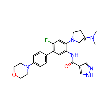 CN(C)[C@@H]1CCN(c2cc(F)c(-c3ccc(N4CCOCC4)cc3)cc2NC(=O)c2cn[nH]c2)C1